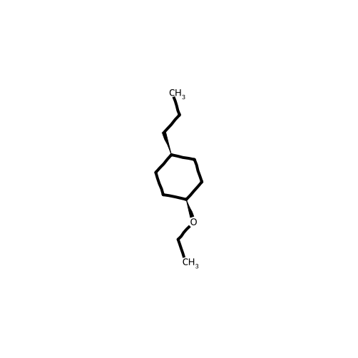 CCC[C@H]1CC[C@@H](OCC)CC1